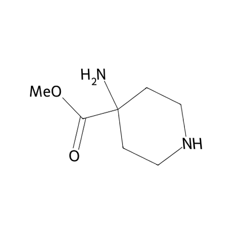 COC(=O)C1(N)CCNCC1